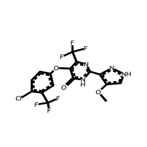 COc1c[nH]nc1-c1nc(C(F)(F)F)c(Oc2ccc(Cl)c(C(F)(F)F)c2)c(=O)[nH]1